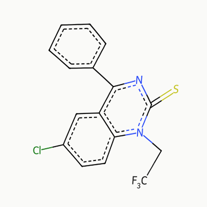 FC(F)(F)Cn1c(=S)nc(-c2ccccc2)c2cc(Cl)ccc21